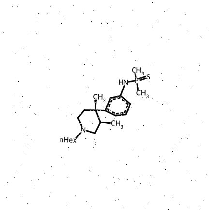 CCCCCCN1CC[C@](C)(c2cccc(NP(C)(C)=S)c2)[C@@H](C)C1